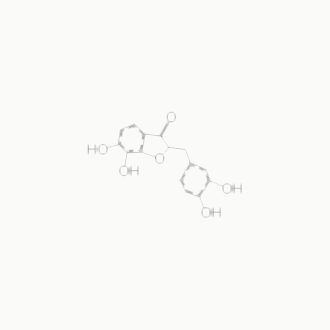 O=C1c2ccc(O)c(O)c2OC1Cc1ccc(O)c(O)c1